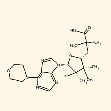 CC(C)(C[C@H]1O[C@@H](n2cnc3c(N4CCOCC4)ncnc32)[C@](C)(F)[C@]1(C)O)C(=O)O